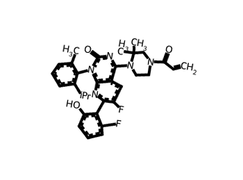 C=CC(=O)N1CCN(c2nc(=O)n(-c3c(C)cccc3C(C)C)c3nc(-c4c(O)cccc4F)c(F)cc23)C(C)(C)C1